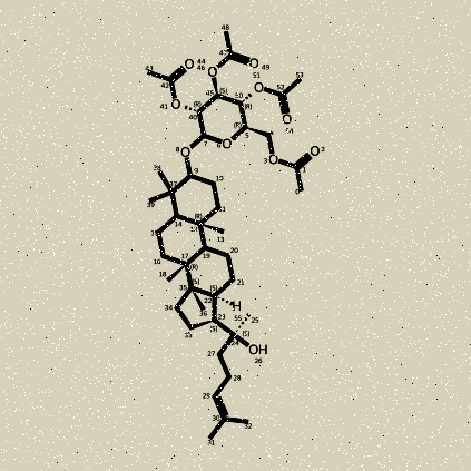 CC(=O)OC[C@H]1OC(OC2CC[C@@]3(C)C(CC[C@]4(C)C3CC[C@H]3[C@@H]([C@@](C)(O)CCC=C(C)C)CC[C@@]34C)C2(C)C)[C@H](OC(C)=O)[C@@H](OC(C)=O)[C@@H]1OC(C)=O